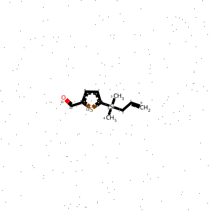 C=CC[Si](C)(C)c1ccc(C=O)s1